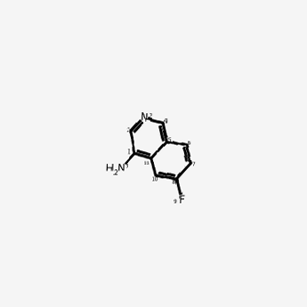 Nc1cncc2ccc(F)cc12